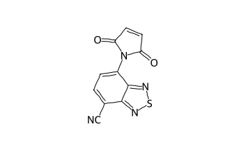 N#Cc1ccc(N2C(=O)C=CC2=O)c2nsnc12